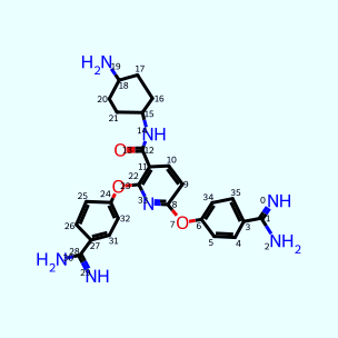 N=C(N)c1ccc(Oc2ccc(C(=O)NC3CCC(N)CC3)c(Oc3ccc(C(=N)N)cc3)n2)cc1